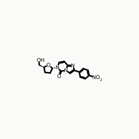 O=c1n([C@@H]2CC[C@@H](CO)O2)ccc2nc(-c3ccc([N+](=O)[O-])cc3)cn12